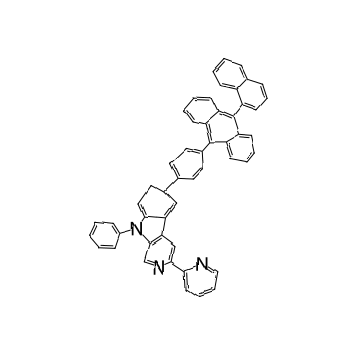 C1=c2c(n(-c3ccccc3)c3cnc(-c4ccccn4)cc23)=CCC1c1ccc(-c2c3ccccc3c(-c3cccc4ccccc34)c3ccccc23)cc1